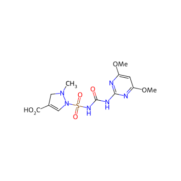 COc1cc(OC)nc(NC(=O)NS(=O)(=O)N2C=C(C(=O)O)CN2C)n1